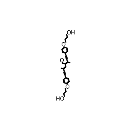 C/C(C#Cc1ccc(OCCCCO)cc1)=C(C=O)\C=C(/C)C#Cc1ccc(OCCCCO)cc1